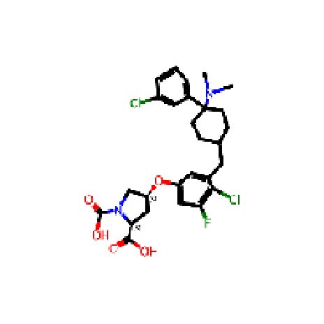 CN(C)C1(c2cccc(Cl)c2)CCC(Cc2cc(O[C@H]3C[C@@H](C(=O)O)N(C(=O)O)C3)cc(F)c2Cl)CC1